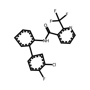 O=C(Nc1ccccc1-c1ccc(F)c(Cl)c1)c1cccnc1C(F)(F)F